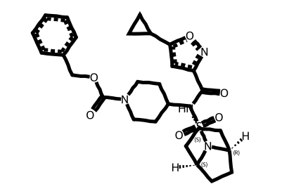 O=C(N[C@@H]1C[C@H]2CC[C@@H](C1)N2S(=O)(=O)CC1CCN(C(=O)OCc2ccccc2)CC1)c1cc(C2CC2)on1